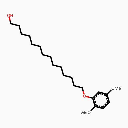 COc1ccc(OC)c(OCCCCCCCCCCCCCCO)c1